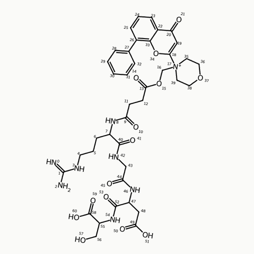 N=C(N)NCCCC(NC(=O)CCC(=O)OC[N+]1(c2cc(=O)c3cccc(-c4ccccc4)c3o2)CCOCC1)C(=O)NCC(=O)NC(CC(=O)O)C(=O)NC(CO)C(=O)O